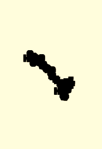 C[C@@H]1Cc2c([nH]c3ccccc23)[C@@H](c2c(F)cc(N3CC4(CN(CC(=O)N5Cc6cc7c(cc6C5)C(=O)N(C5CCC(=O)NC5=O)C7)C4)C3)cc2F)N1CC(F)F